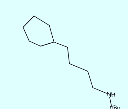 CCCCNCCCCC1CCCCC1